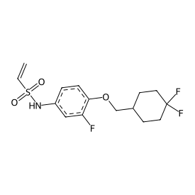 C=CS(=O)(=O)Nc1ccc(OCC2CCC(F)(F)CC2)c(F)c1